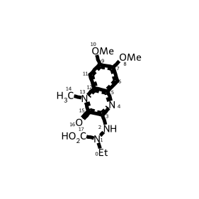 CCN(Nc1nc2cc(OC)c(OC)cc2n(C)c1=O)C(=O)O